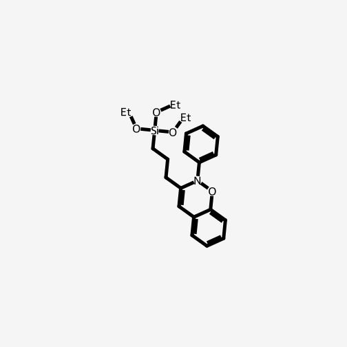 CCO[Si](CCCC1=Cc2ccccc2ON1c1ccccc1)(OCC)OCC